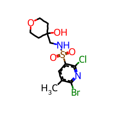 Cc1cc(S(=O)(=O)NCC2(O)CCOCC2)c(Cl)nc1Br